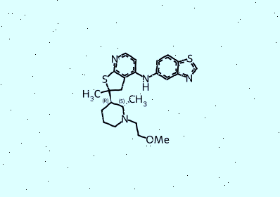 COCCN1CCC[C@@H](C2(C)Cc3c(Nc4ccc5scnc5c4)ccnc3S2)[C@@H]1C